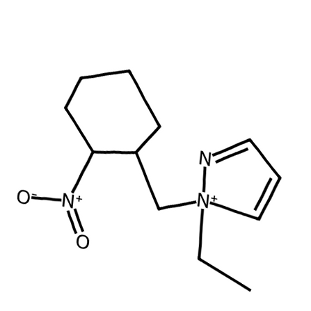 CC[N+]1(CC2CCCCC2[N+](=O)[O-])C=CC=N1